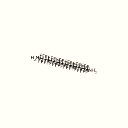 NC(F)(F)C(F)(F)C(F)(F)C(F)(F)C(F)(F)C(F)(F)C(F)(F)C(F)(F)C(F)(F)C(F)(F)C(F)(F)C(F)(F)C(F)(F)C(F)(F)C(F)(F)C(F)(F)C(F)(F)C(N)(F)F